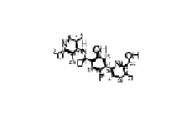 COc1ncc(C)c(NC(=O)c2cc(F)c(-c3ccc(C)c(CO)n3)cc2O)c1C